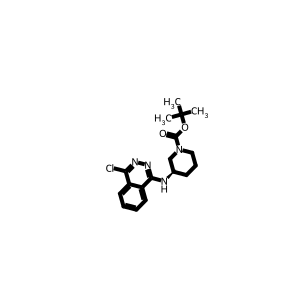 CC(C)(C)OC(=O)N1CCC[C@@H](Nc2nnc(Cl)c3ccccc23)C1